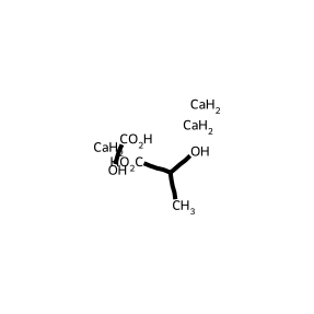 CC(O)C(=O)O.O=C(O)O.[CaH2].[CaH2].[CaH2]